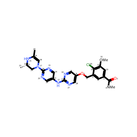 CNC(=O)c1cc(COc2cnc(Nc3cnc(N4C=C(C)N[C@@H](C)C4)nc3)nc2)c(Cl)c(OC)c1